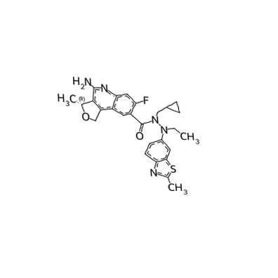 CCN(c1ccc2nc(C)sc2c1)N(CC1CC1)C(=O)c1cc2c3c(c(N)nc2cc1F)[C@@H](C)OC3